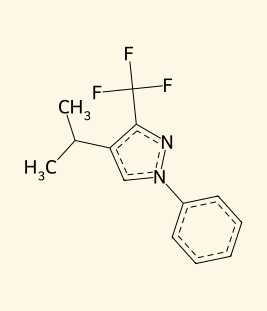 CC(C)c1cn(-c2ccccc2)nc1C(F)(F)F